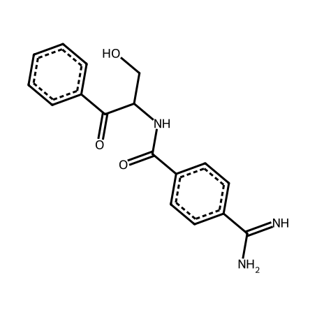 N=C(N)c1ccc(C(=O)NC(CO)C(=O)c2ccccc2)cc1